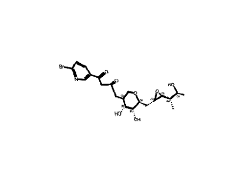 C[C@H]([C@@H]1O[C@H]1C[C@@H]1OC[C@H](CC(=O)CC(=O)c2ccc(Br)nc2)[C@@H](O)[C@H]1O)[C@H](C)O